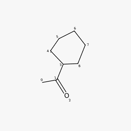 CC(=O)C1[CH]CCCC1